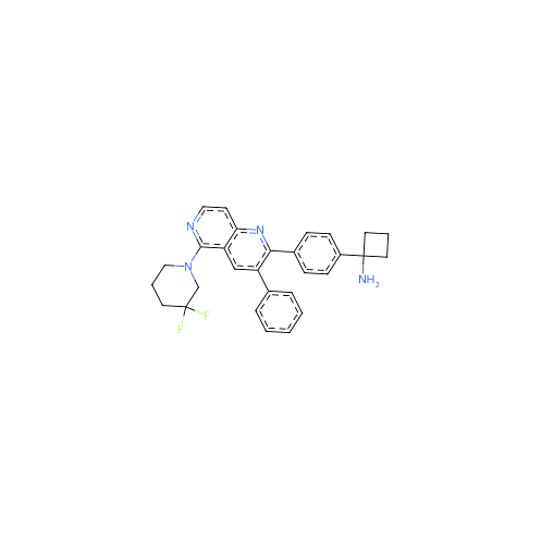 NC1(c2ccc(-c3nc4ccnc(N5CCCC(F)(F)C5)c4cc3-c3ccccc3)cc2)CCC1